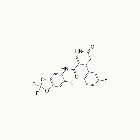 O=C1CC(c2cccc(F)c2)C(C(=O)Nc2cc3c(cc2Cl)OC(F)(F)O3)=CN1